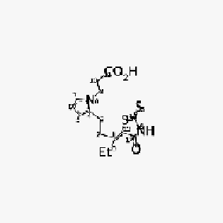 CCC(CCc1cccn1CCC(=O)O)=C1SC(=S)NC1=O